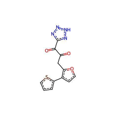 O=C(Cc1occc1-c1cccs1)C(=O)c1nn[nH]n1